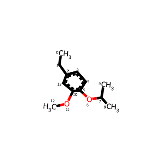 CCc1ccc(OC(C)C)c(OC)c1